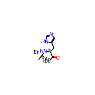 CC[C@](C)(N[C@@H](Cc1cnc[nH]1)C(=O)C(C)(C)C)C(C)=O